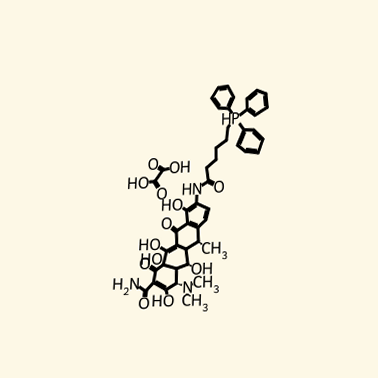 C[C@H]1c2ccc(NC(=O)CCCCC[PH](c3ccccc3)(c3ccccc3)c3ccccc3)c(O)c2C(=O)C2=C(O)[C@]3(O)C(=O)C(C(N)=O)=C(O)[C@@H](N(C)C)C3[C@@H](O)C21.O=C(O)C(=O)O